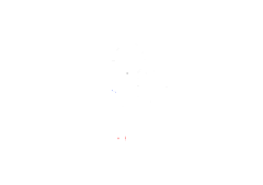 OC[C@]1(c2ccccc2)C(O)CCN1c1ccccc1